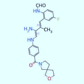 CC(=C\c1cc(F)ccc1NC=O)/C(N)=C/Nc1ccc(C(=O)N2CCC3(CCOC3)C2)cc1